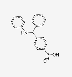 O=[PH](O)c1ccc(C(Nc2ccccc2)c2ccccc2)cc1